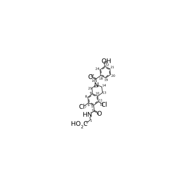 O=C(O)CNC(=O)c1c(Cl)cc2c(c1Cl)CCN(C(=O)c1cccc(O)c1)C2